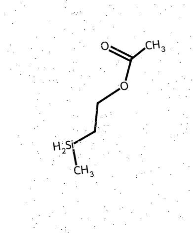 C[SiH2]CCOC(C)=O